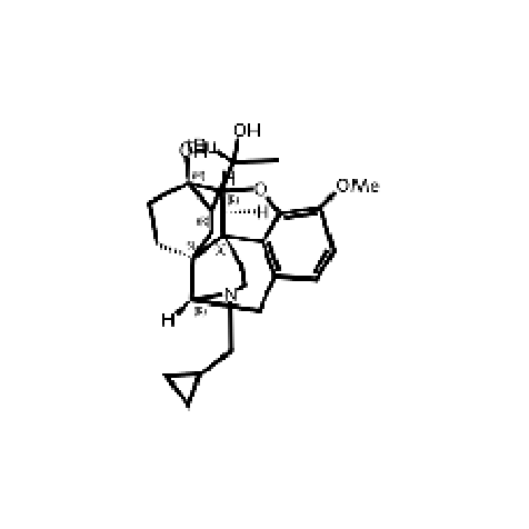 COc1ccc2c3c1O[C@H]1[C@@]4(O)CC[C@@]5(C[C@@H]4C(C)(O)C(C)(C)C)[C@@H](C2)N(CC2CC2)CC[C@]315